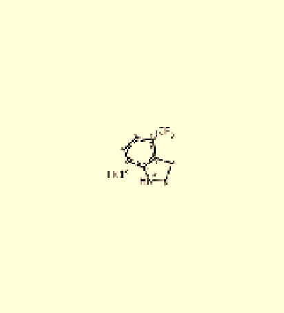 Cl.FC(F)(F)c1cccc2c1CCN2